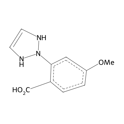 COc1ccc(C(=O)O)c(N2NC=CN2)c1